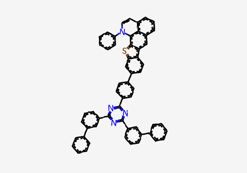 C1=CN(c2ccccc2)c2c3sc4cc(-c5ccc(-c6nc(-c7cccc(-c8ccccc8)c7)nc(-c7cccc(-c8ccccc8)c7)n6)cc5)ccc4c3cc3cccc1c23